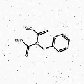 COC(=O)[C-]([I+]c1ccccc1)C(=O)OC